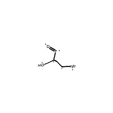 CCCCC(O)P=O